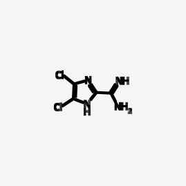 N=C(N)c1nc(Cl)c(Cl)[nH]1